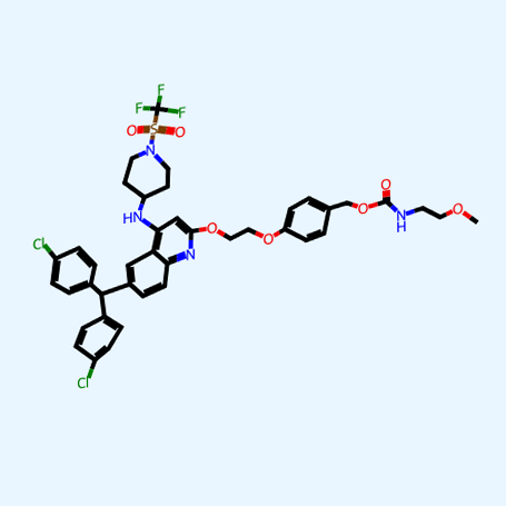 COCCNC(=O)OCc1ccc(OCCOc2cc(NC3CCN(S(=O)(=O)C(F)(F)F)CC3)c3cc(C(c4ccc(Cl)cc4)c4ccc(Cl)cc4)ccc3n2)cc1